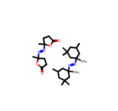 CC(=O)OC1(N=NC2(OC(C)=O)CC(C)CC(C)(C)C2)CC(C)CC(C)(C)C1.CC1(N=NC2(C)CCC(=O)O2)CCC(=O)O1